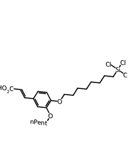 CCCCCOc1cc(C=CC(=O)O)ccc1OCCCCCCCC[Si](Cl)(Cl)Cl